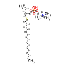 CCCCCCCCCCCCCCCCSCC(CCC)COP(=O)(O)OCC[N+](C)(C)C